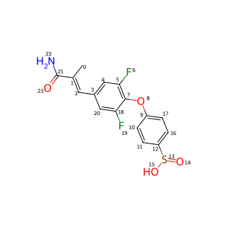 C/C(=C\c1cc(F)c(Oc2ccc(S(=O)O)cc2)c(F)c1)C(N)=O